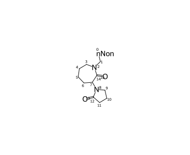 CCCCCCCCCCN1CCCCC(N2CCCC2=O)C1=O